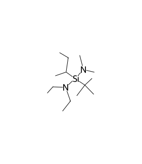 CCC(C)[Si](N(C)C)(N(CC)CC)C(C)(C)C